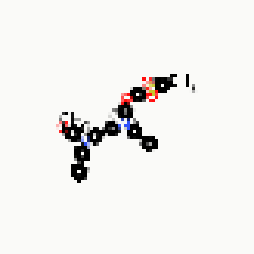 COc1ccc(N(c2ccc(-c3ccccc3)cc2)c2ccc(-c3ccc(N(c4ccc(Oc5ccc(S(=O)(=O)c6ccc(C)cc6)cc5)cc4)c4ccc(-c5ccccc5)cc4)c(C)c3)cc2C)cc1